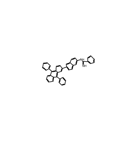 N=C(Nc1ccc2cc(-c3ccc4c(-c5ccccc5)c5ccccc5c(-c5ccccc5)c4c3)ccc2c1)c1ccccc1